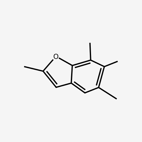 Cc1cc2cc(C)c(C)c(C)c2o1